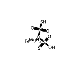 O=S(=O)(S)OS(=O)(O)=S.[Fe].[MgH2]